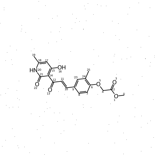 COC(=O)COc1ccc(C=CC(=O)c2c(O)cc(C)[nH]c2=O)cc1C